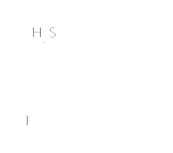 ICc1ccccc1.S